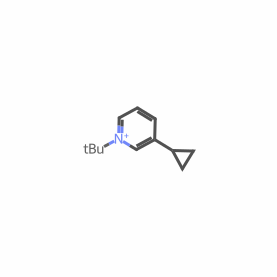 CC(C)(C)[n+]1cccc(C2CC2)c1